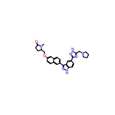 CN1C(=O)CCC1COc1ccc2cc(-c3n[nH]c4ccc(-c5n[nH]c(CN6CCCC6)n5)cc34)ccc2c1